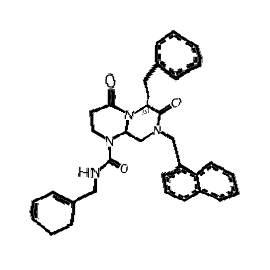 O=C1[C@H](Cc2ccccc2)N2C(=O)CCN(C(=O)NCC3=CC=CCC3)C2CN1Cc1cccc2ccccc12